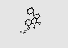 COc1cccc2c3c(c(=O)[nH]c12)CCN3c1ccccc1